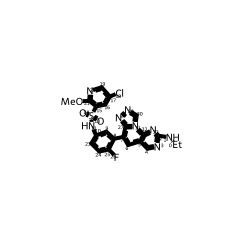 CCNc1ncc2cc(-c3cc(NS(=O)(=O)c4cc(Cl)cnc4OC)ccc3F)c3nncn3c2n1